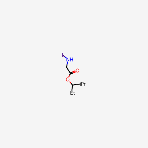 CCC(OC(=O)CNI)C(C)C